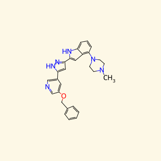 CN1CCN(c2cccc3[nH]c(-c4cc(-c5cncc(OCc6ccccc6)c5)[nH]n4)cc23)CC1